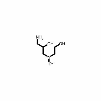 CC(C)N(CCO)CC(O)CN